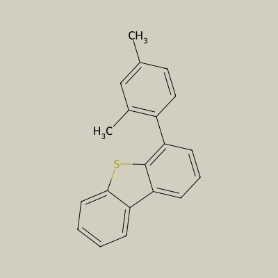 Cc1ccc(-c2cccc3c2sc2ccccc23)c(C)c1